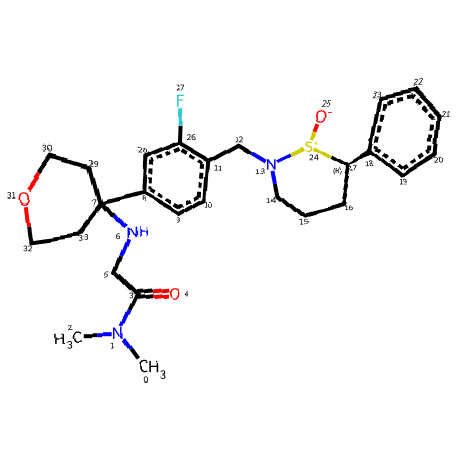 CN(C)C(=O)CNC1(c2ccc(CN3CCC[C@H](c4ccccc4)[S+]3[O-])c(F)c2)CCOCC1